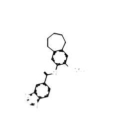 COc1cc2c(cc1NC(=O)c1ccc3nonc3c1)CCCCC2